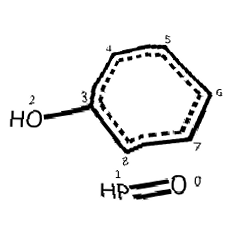 O=P.Oc1ccccc1